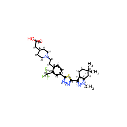 Cn1nc(-c2nnc(-c3ccc(CCN4CCC(CC(=O)O)CC4)c(C(F)(F)F)c3)s2)c2c1CC(C)(C)CC2